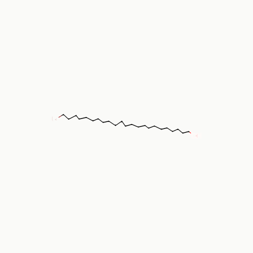 OCCCCCCCCCCCCCCCCCCCCCCCBr